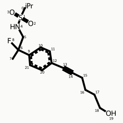 CC(C)S(=O)(=O)NCC(C)(F)c1ccc(C#CCCCCO)cc1